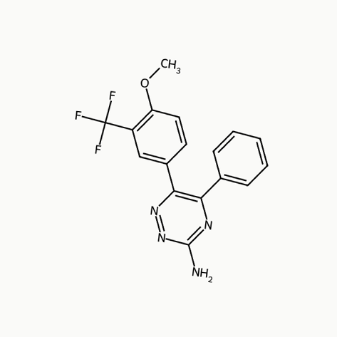 COc1ccc(-c2nnc(N)nc2-c2ccccc2)cc1C(F)(F)F